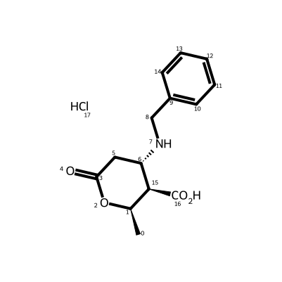 C[C@H]1OC(=O)C[C@H](NCc2ccccc2)[C@H]1C(=O)O.Cl